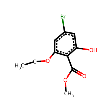 CCOc1cc(Br)cc(O)c1C(=O)OC